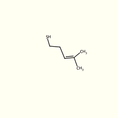 CC(C)=CCCS